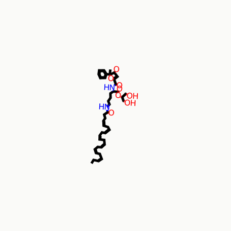 CC/C=C\C/C=C\C/C=C\C/C=C\C/C=C\C/C=C\CCC(=O)NCCCCC(NC(=O)C1=CC(=O)C(C)(c2ccccc2)O1)C(=O)OC(CO)CO